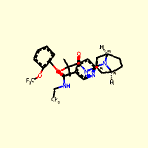 CC(C)(Oc1ccccc1OC(F)(F)F)C(=O)N[C@H]1C[C@H]2CC[C@@H](C1)N2c1ccc(C(=O)NCC(F)(F)F)cn1